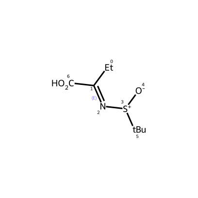 CC/C(=N\[S+]([O-])C(C)(C)C)C(=O)O